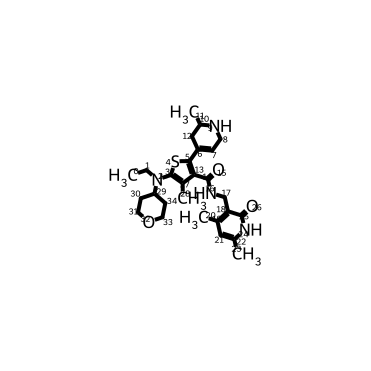 CCN(c1sc(C2=CCNC(C)C2)c(C(=O)NCc2c(C)cc(C)[nH]c2=O)c1C)C1CCOCC1